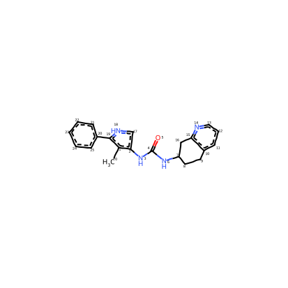 Cc1c(NC(=O)NC2CCc3cccnc3C2)c[nH]c1-c1ccccc1